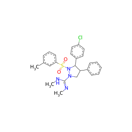 CN=C(NC)N1CC(c2ccccc2)C(c2ccc(Cl)cc2)N1S(=O)(=O)c1cccc(C)c1